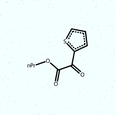 CCCOC(=O)C(=O)c1cccs1